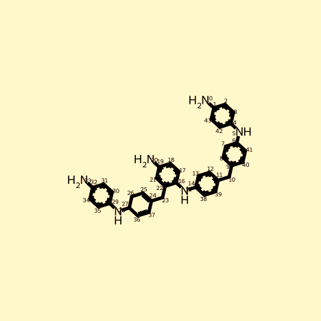 Nc1ccc(Nc2ccc(Cc3ccc(Nc4ccc(N)cc4CC4=CCC(Nc5ccc(N)cc5)C=C4)cc3)cc2)cc1